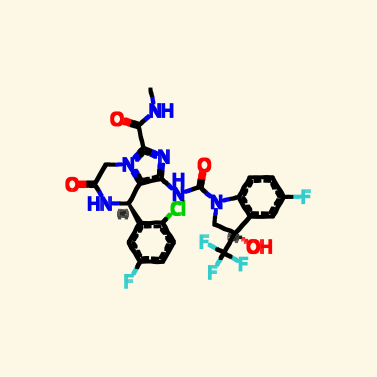 CNC(=O)c1nc(NC(=O)N2C[C@](O)(C(F)(F)F)c3cc(F)ccc32)c2n1CC(=O)N[C@@H]2c1cc(F)ccc1Cl